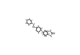 c1ccc(COc2ccc(-c3cnc4c(n3)CNC4)cc2)cc1